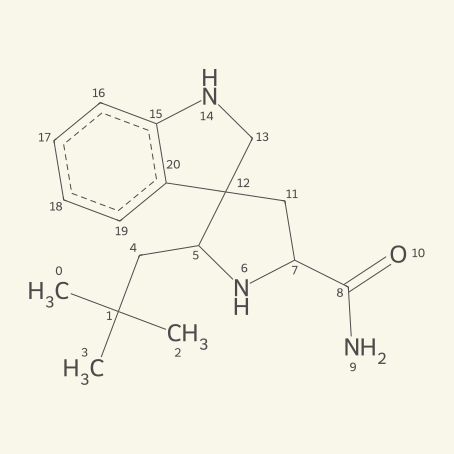 CC(C)(C)CC1NC(C(N)=O)CC12CNc1ccccc12